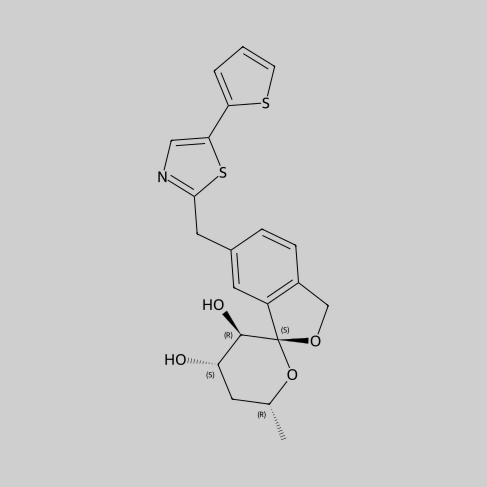 C[C@@H]1C[C@H](O)[C@@H](O)[C@@]2(OCc3ccc(Cc4ncc(-c5cccs5)s4)cc32)O1